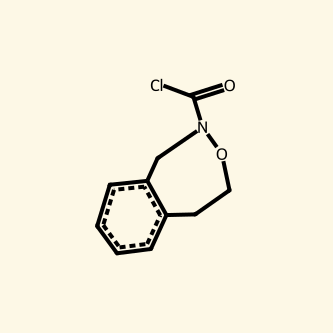 O=C(Cl)N1Cc2ccccc2CCO1